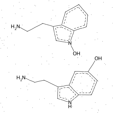 NCCc1c[nH]c2ccc(O)cc12.NCCc1cn(O)c2ccccc12